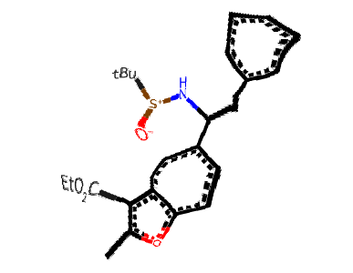 CCOC(=O)c1c(C)oc2ccc(C(Cc3ccccc3)N[S+]([O-])C(C)(C)C)cc12